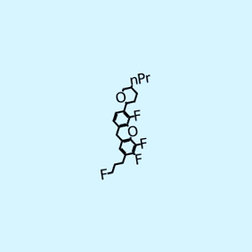 CCCC1CCC(c2ccc3c(c2F)Oc2c(cc(CCCF)c(F)c2F)C3)OC1